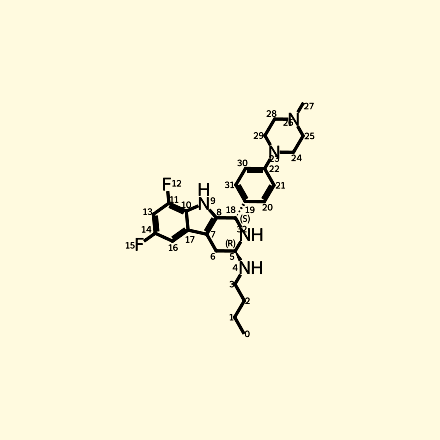 CCCCN[C@H]1Cc2c([nH]c3c(F)cc(F)cc23)[C@H](c2ccc(N3CCN(C)CC3)cc2)N1